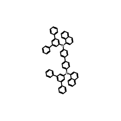 c1ccc(-c2cc(-c3ccccc3)cc(N(c3ccc(-c4ccc(N(c5cc(-c6ccccc6)cc(-c6ccccc6)c5)c5cccc6ccccc56)cc4)cc3)c3cccc4ccccc34)c2)cc1